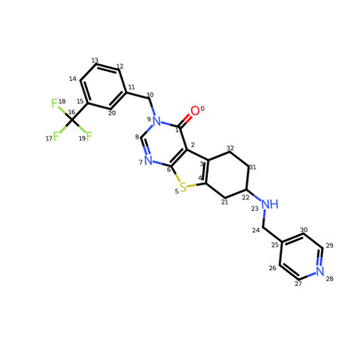 O=c1c2c3c(sc2ncn1Cc1cccc(C(F)(F)F)c1)CC(NCc1ccncc1)CC3